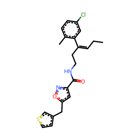 CC/C=C(/CCNC(=O)c1cc(Cc2ccsc2)on1)c1cc(Cl)ccc1C